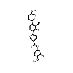 CCCC1CCC(c2ccc(-c3ccc(C(=O)Oc4ccc(OCC)c(F)c4)cc3)c(F)c2F)CC1